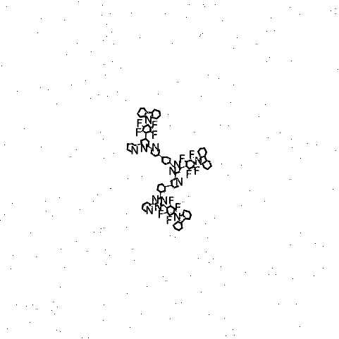 Fc1c(F)c(-n2c3ccccc3c3ccccc32)c(F)c(F)c1-c1cc(-c2ccccn2)nc(-c2ccc(-c3ccc(-c4nc(-c5cc(-c6cccc(-c7nc(-c8ccccn8)nc(-c8c(F)c(F)c(-n9c%10ccccc%10c%10ccccc%109)c(F)c8F)n7)c6)ccn5)cc(-c5c(F)c(F)c(-n6c7ccccc7c7ccccc76)c(F)c5F)n4)cc3)cn2)c1